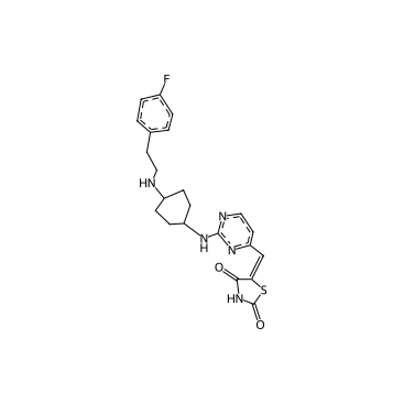 O=C1NC(=O)/C(=C\c2ccnc(NC3CCC(NCCc4ccc(F)cc4)CC3)n2)S1